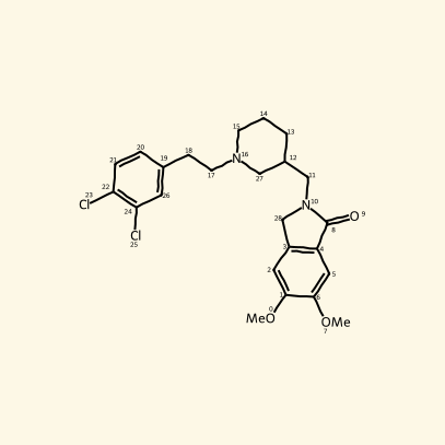 COc1cc2c(cc1OC)C(=O)N(CC1CCCN(CCc3ccc(Cl)c(Cl)c3)C1)C2